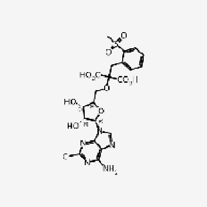 CS(=O)(=O)c1ccccc1CC(OC[C@H]1O[C@@H](n2cnc3c(N)nc(Cl)nc32)[C@H](O)[C@@H]1O)(C(=O)O)C(=O)O